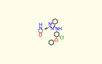 C#Cc1nc(Nc2ccc(Oc3ccccc3)c(Cl)c2)c2ccccc2n1.C1NCC2OC12